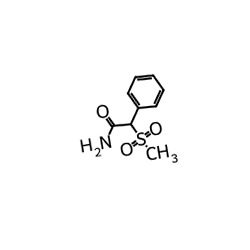 CS(=O)(=O)C(C(N)=O)c1ccccc1